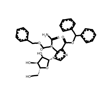 NC(=S)N(C(=O)OCc1ccccc1)c1c(C(=O)OC(c2ccccc2)c2ccccc2)ncn1[C@@H]1O[C@H](CO)[C@@H](O)[C@H]1O